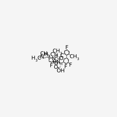 Cc1cc(F)cc(C)c1-c1cc(F)c(F)c([C@H](CC(=O)O)NC(=O)C(CC(C)C)n2cc(CCN(C)C)cc(F)c2=O)c1